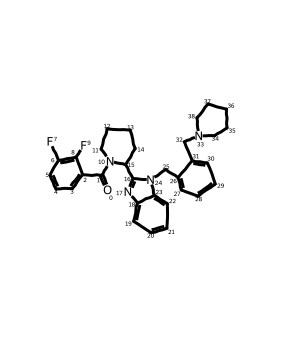 O=C(c1cccc(F)c1F)N1CCCCC1c1nc2ccccc2n1Cc1ccccc1CN1CCCCC1